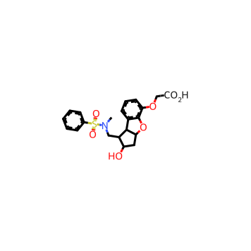 CN(CC1C(O)CC2Oc3c(OCC(=O)O)cccc3C21)S(=O)(=O)c1ccccc1